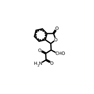 NC(=O)C(=O)C(C=O)C1OC(=O)c2ccccc21